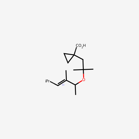 C/C(=C\C(C)C)C(C)OC(C)(C)CC1(C(=O)O)CC1